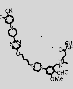 COc1cc(N2CCN(CCCCOc3cnc(C4CCN(c5ccc(C#N)c(C(F)(F)F)c5)CC4)nc3)CC2)cc(CNC(C)CCC(=O)NC=O)c1C=O